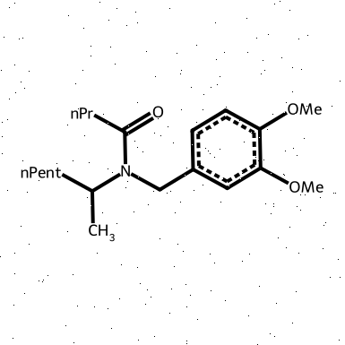 CCCCCC(C)N(Cc1ccc(OC)c(OC)c1)C(=O)CCC